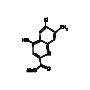 COC(=O)c1cc(O)c2cc(Cl)c(C)cc2n1